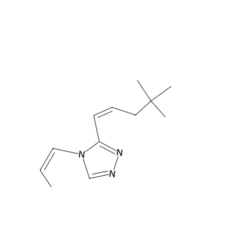 C/C=C\n1cnnc1/C=C\CC(C)(C)C